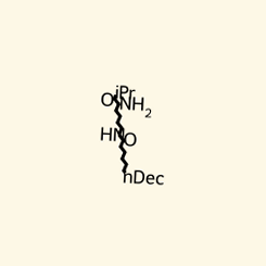 CCCCCCCCCCCCCCCC(=O)NCCCCC(N)C(=O)C(C)C